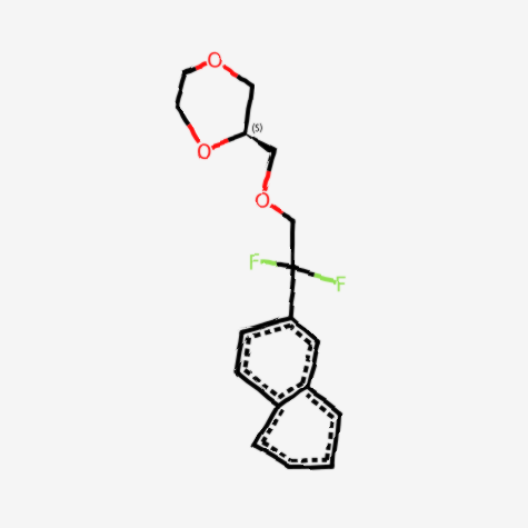 FC(F)(COC[C@@H]1COCCO1)c1ccc2ccccc2c1